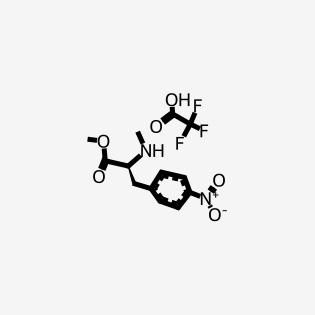 CN[C@@H](Cc1ccc([N+](=O)[O-])cc1)C(=O)OC.O=C(O)C(F)(F)F